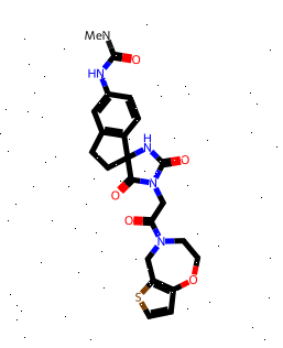 CNC(=O)Nc1ccc2c(c1)CCC21NC(=O)N(CC(=O)N2CCOc3ccsc3C2)C1=O